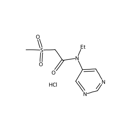 CCN(C(=O)CS(C)(=O)=O)c1cncnc1.Cl